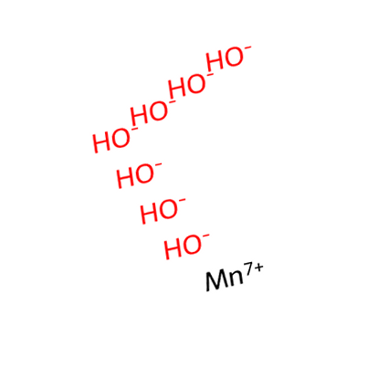 [Mn+7].[OH-].[OH-].[OH-].[OH-].[OH-].[OH-].[OH-]